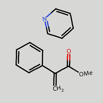 C=C(C(=O)OC)c1ccccc1.c1ccncc1